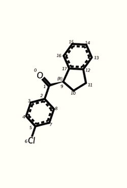 O=C(c1ccc(Cl)cc1)[C@@H]1CCc2ccccc21